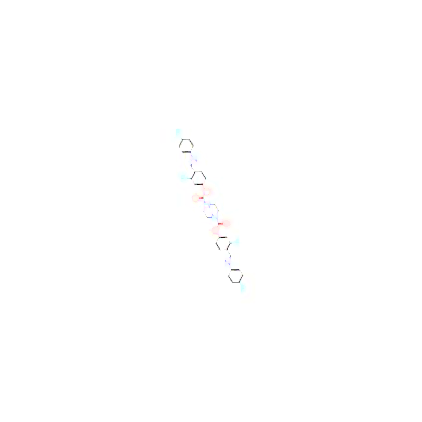 O=C(Oc1ccc(/C=N/c2ccc(F)cc2)c(F)c1)N1CCN(C(=O)Oc2ccc(/C=N/c3ccc(F)cc3)c(F)c2)CC1